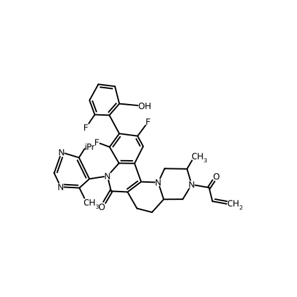 C=CC(=O)N1CC2CCc3c(c4cc(F)c(-c5c(O)cccc5F)c(F)c4n(-c4c(C)ncnc4C(C)C)c3=O)N2CC1C